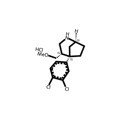 COC[C@@H]1CN[C@H]2CC[C@]1(c1ccc(Cl)c(Cl)c1)C2.Cl